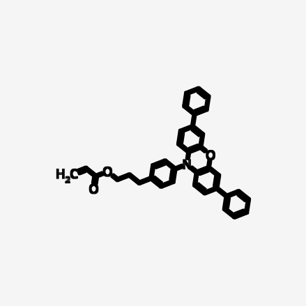 C=CC(=O)OCCCc1ccc(N2c3ccc(-c4ccccc4)cc3Oc3cc(-c4ccccc4)ccc32)cc1